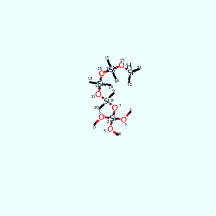 CO[Si](OC)(OC)O[Si](C)(C)O[Si](C)(C)O[Si](C)(C)O[SiH](C)C